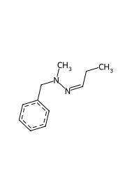 CC/C=N\N(C)Cc1ccccc1